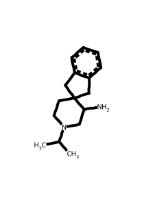 CC(C)N1CCC2(Cc3ccccc3C2)C(N)C1